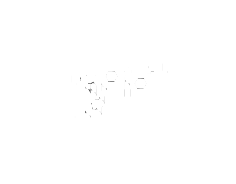 CNc1cc(-n2nc(C)cc2Nc2cc(C(=O)Nc3cccc(C(C)(F)F)c3)ccc2C)ncn1